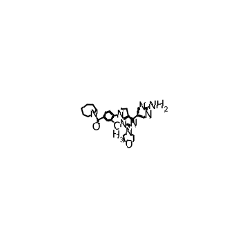 Cc1cc(C(=O)N2CCCCCC2)ccc1N1CCc2c(-c3cnc(N)nc3)nc(N3CCOCC3)nc21